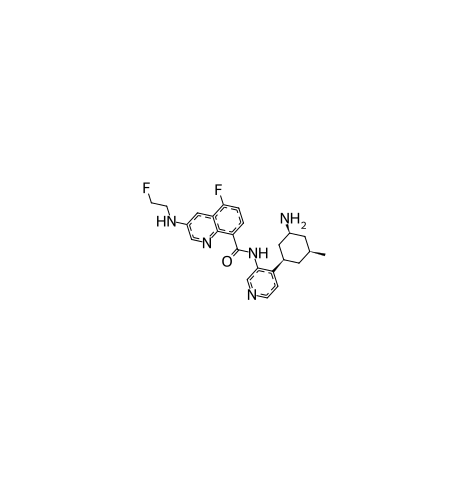 C[C@@H]1C[C@H](N)C[C@H](c2ccncc2NC(=O)c2ccc(F)c3cc(NCCF)cnc23)C1